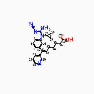 N#CN=C(N)N(c1cccc(/C(=C\CCCCC(=O)O)c2cccnc2)c1)C1CC1